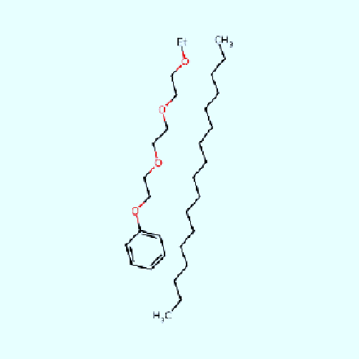 CCCCCCCCCCCCCCCCC.CCOCCOCCOCCOc1ccccc1